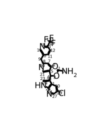 NC(=O)OC(c1ccc(Cc2ccc(C(F)(F)F)nc2)nc1)c1c[nH]c2ncc(Cl)cc12